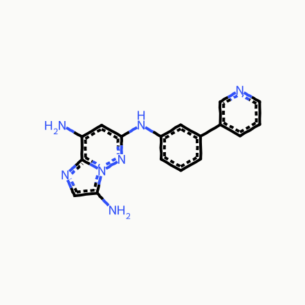 Nc1cc(Nc2cccc(-c3cccnc3)c2)nn2c(N)cnc12